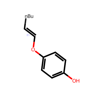 CCCC/C=C/Oc1ccc(O)cc1